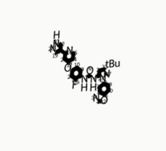 CC(C)(C)c1cc(NC(=O)Nc2ccc(Oc3ccnc(-c4cn[nH]c4)c3)cc2F)n(-c2ccc3ocnc3c2)n1